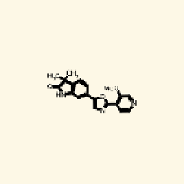 COc1cnccc1-c1ncc(-c2ccc3c(c2)NC(=O)C3(C)C)o1